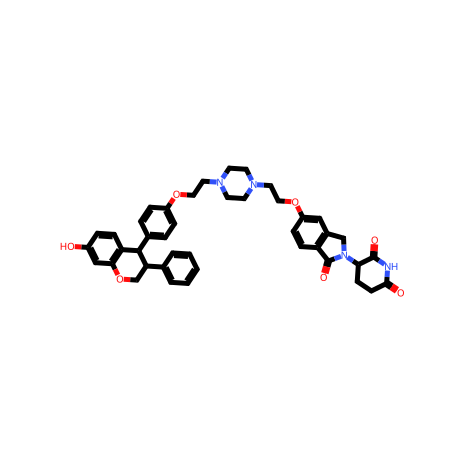 O=C1CCC(N2Cc3cc(OCCN4CCN(CCOc5ccc(C6c7ccc(O)cc7OCC6c6ccccc6)cc5)CC4)ccc3C2=O)C(=O)N1